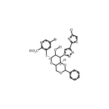 CCOC(=O)c1ncc(Br)cc1S[C@H]1OC2COC(c3ccccc3)O[C@@H]2C(n2cc(-c3nc(Cl)cs3)nn2)C1OCC